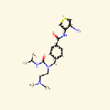 CC(C)NC(=O)N(CCN(C)C)Cc1ccc(C(=O)Nc2cscc2N)cc1